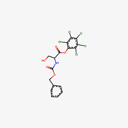 O=C(NC(CO)C(=O)Oc1c(Cl)c(Cl)c(Cl)c(Cl)c1Cl)OCc1ccccc1